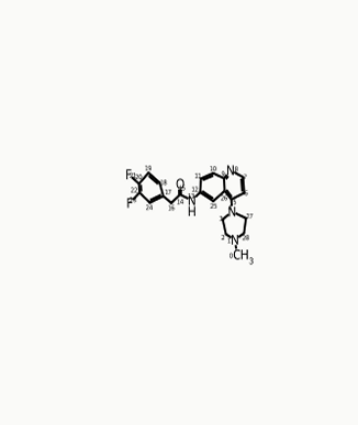 CN1CCN(c2ccnc3ccc(NC(=O)Cc4ccc(F)c(F)c4)cc23)CC1